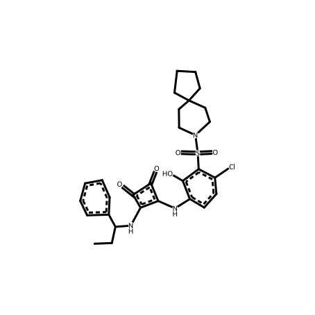 CCC(Nc1c(Nc2ccc(Cl)c(S(=O)(=O)N3CCC4(CCCC4)CC3)c2O)c(=O)c1=O)c1ccccc1